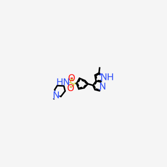 Cc1cc2c(-c3ccc(S(=O)(=O)NC4CCN(C)CC4)cc3)ccnc2[nH]1